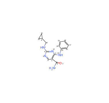 NC(=O)c1cnc(NCC2CC2)nc1Nc1ccccc1